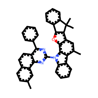 Cc1ccc2ccc3c(-c4ccccc4)nc(-n4c5ccccc5c5c(C)cc6c7c(oc6c54)-c4ccccc4C7(C)C)nc3c2c1